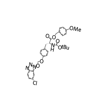 COc1ccc(COC(=O)[C@@H](Cc2ccc(OCOn3nnc4ccc(Cl)cc43)cc2)NC(=O)OC(C)(C)C)cc1